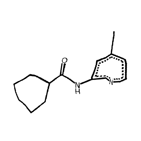 Cc1ccnc(NC(=O)C2CCCCC2)c1